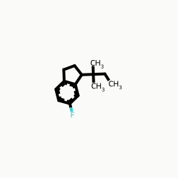 CCC(C)(C)C1CCc2ccc(F)cc21